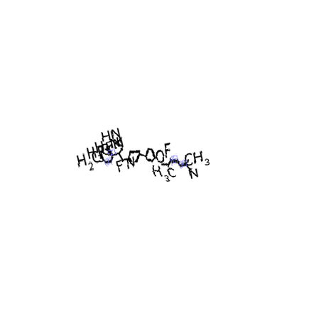 C=C(F)/C=C\C(=C(/C)F)C(CN(N)C=N)C(F)c1ccc(-c2ccc(OCC(C)/C(F)=C\C=C(/C)C#N)cc2)cn1